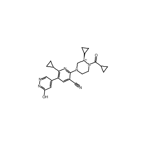 N#Cc1cc(-c2cnnc(O)c2)c(C2CC2)nc1N1CCN(C(=O)C2CC2)[C@H](C2CC2)C1